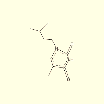 Cc1cn(CCC(C)C)c(=O)[nH]c1=O